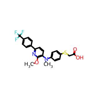 COc1nc(-c2ccc(C(F)(F)F)cc2)ccc1N(C)c1ccc(SCC(=O)O)cc1